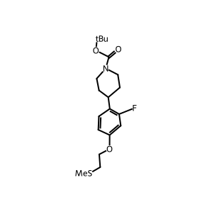 CSCCOc1ccc(C2CCN(C(=O)OC(C)(C)C)CC2)c(F)c1